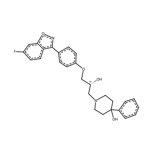 O[C@@H](COc1ccc(-c2noc3cc(F)ccc23)cc1)CN1CCC(O)(c2ccccc2)CC1